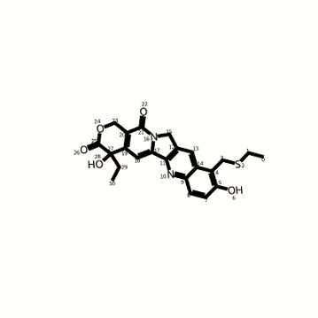 CCSCc1c(O)ccc2nc3c(cc12)Cn1c-3cc2c(c1=O)COC(=O)C2(O)CC